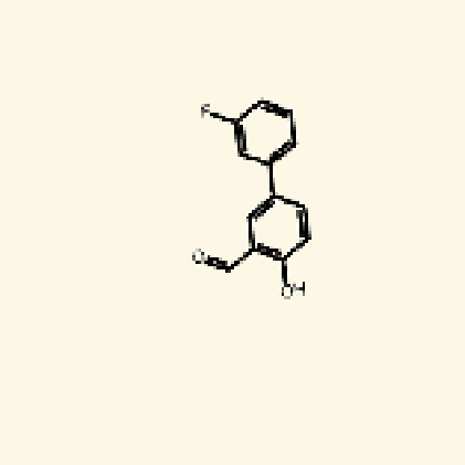 O=Cc1cc(-c2cccc(F)c2)ccc1O